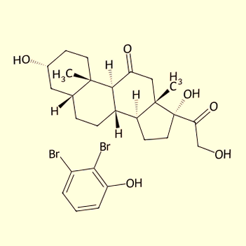 C[C@]12CC[C@@H](O)C[C@H]1CC[C@@H]1[C@@H]2C(=O)C[C@@]2(C)[C@H]1CC[C@]2(O)C(=O)CO.Oc1cccc(Br)c1Br